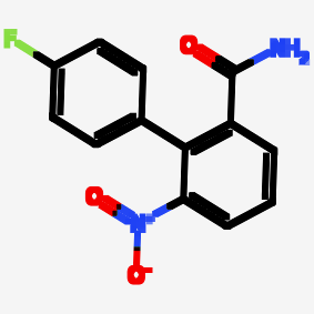 NC(=O)c1cccc([N+](=O)[O-])c1-c1ccc(F)cc1